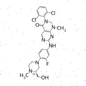 CN1CN(c2c(Cl)cccc2Cl)C(=O)c2cnc(Nc3ccc(N4CCN(C)[C@H](CO)C4)c(F)c3)nc21